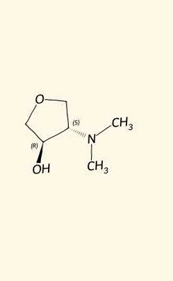 CN(C)[C@H]1COC[C@@H]1O